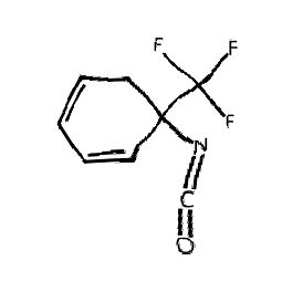 O=C=NC1(C(F)(F)F)C=CC=CC1